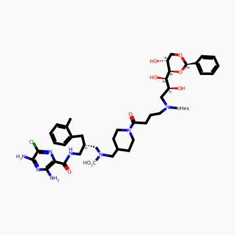 CCCCCCN(CCCC(=O)N1CCC(CN(C[C@H](CNC(=O)c2nc(Cl)c(N)nc2N)Cc2ccccc2C)C(=O)O)CC1)C[C@H](O)[C@@H](O)[C@@H]1O[C@H](c2ccccc2)OC[C@H]1O